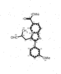 COC(=O)c1ccc2nc(-c3cccc(OC)c3)c(CC(C)C=O)n2c1